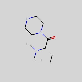 CC(C)C[C@@H](C(=O)N1CCNCC1)N(C(=O)O)C(C)(C)C